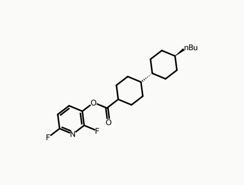 CCCC[C@H]1CC[C@H](C2CCC(C(=O)Oc3ccc(F)nc3F)CC2)CC1